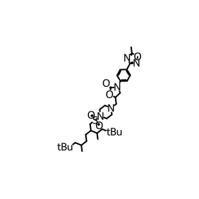 Cc1nc(-c2ccc(N3CC(CN4CCN(S(=O)(=O)CC(CCC(C)CC(C)(C)C)C(C)CC(C)(C)C)CC4)OC3=O)cc2)no1